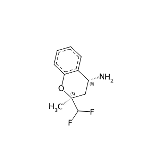 C[C@@]1(C(F)F)C[C@@H](N)c2ccccc2O1